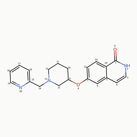 O=c1[nH]ccc2cc(OC3CCCN(Cc4ccccn4)C3)ccc12